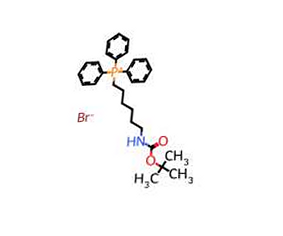 CC(C)(C)OC(=O)NCCCCCC[P+](c1ccccc1)(c1ccccc1)c1ccccc1.[Br-]